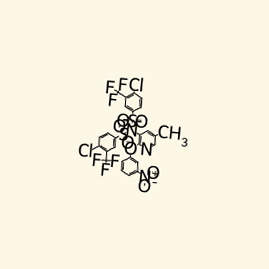 Cc1cnc(Oc2cccc([N+](=O)[O-])c2)c(N(S(=O)(=O)c2ccc(Cl)c(C(F)(F)F)c2)S(=O)(=O)c2ccc(Cl)c(C(F)(F)F)c2)c1